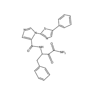 NC(=O)C(=O)C(Cc1ccccc1)NC(=O)c1cncn1-c1ncc(-c2ccccc2)s1